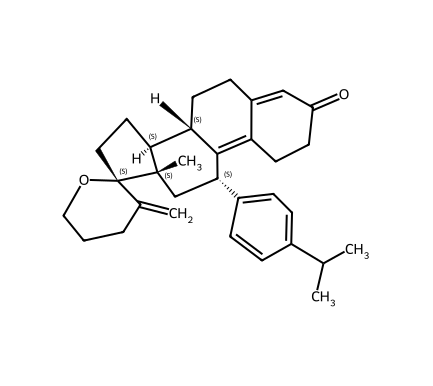 C=C1CCCO[C@@]12CC[C@H]1[C@@H]3CCC4=CC(=O)CCC4=C3[C@H](c3ccc(C(C)C)cc3)C[C@@]12C